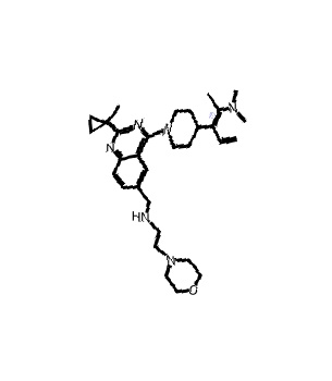 C=C/C(=C(/C)N(C)C)C1CCN(c2nc(C3(C)CC3)nc3ccc(CNCCN4CCOCC4)cc23)CC1